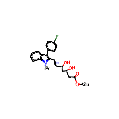 CC(C)n1c(/C=C/C(O)CC(O)CC(=O)OC(C)(C)C)c(-c2ccc(F)cc2)c2ccccc21